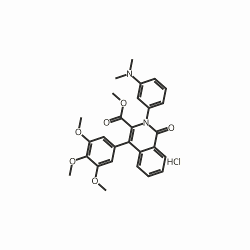 COC(=O)c1c(-c2cc(OC)c(OC)c(OC)c2)c2ccccc2c(=O)n1-c1cccc(N(C)C)c1.Cl